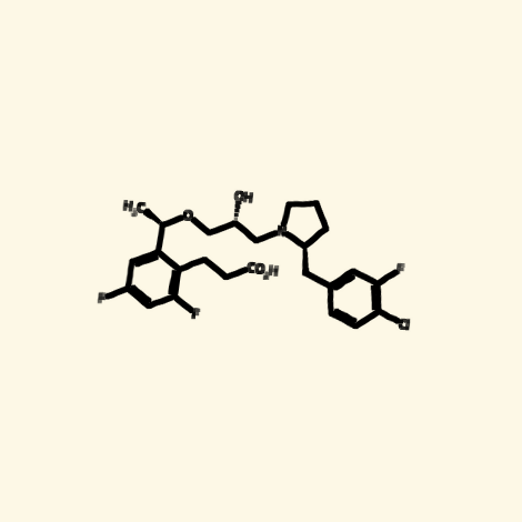 C[C@@H](OC[C@H](O)CN1CCC[C@H]1Cc1ccc(Cl)c(F)c1)c1cc(F)cc(F)c1CCC(=O)O